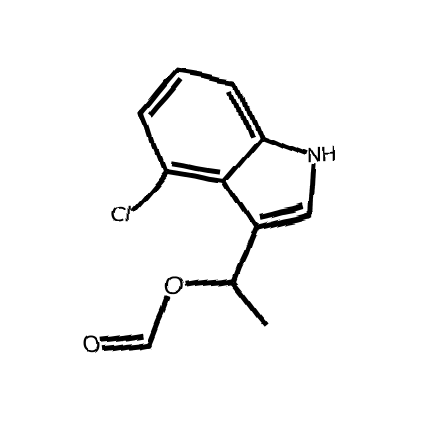 CC(OC=O)c1c[nH]c2cccc(Cl)c12